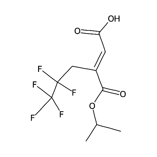 CC(C)OC(=O)/C(=C/C(=O)O)CC(F)(F)C(F)(F)F